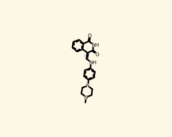 CN1CCN(c2ccc(N/C=C3\C(=O)NC(=O)c4ccccc43)cc2)CC1